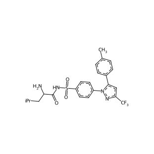 Cc1ccc(-c2cc(C(F)(F)F)nn2-c2ccc(S(=O)(=O)NC(=O)C(N)CC(C)C)cc2)cc1